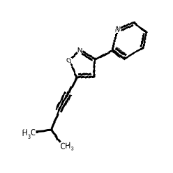 CC(C)C#Cc1cc(-c2ccccn2)no1